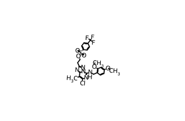 COc1ccc(CNc2nc(Cl)c(C)c3nc(CCOS(=O)(=O)c4ccc(C(F)(F)F)cc4)nn23)c(OC)c1